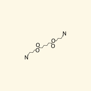 N#CCCCOC(=O)CCCCC(=O)OCCCC#N